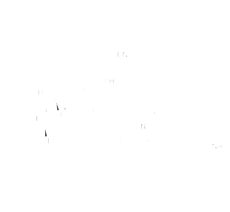 CC(CCC(=O)N(Oc1ccc(N)cc1)Oc1ccc(N)cc1)[C@H]1CC[C@H]2[C@@H]3CCC4CCCC[C@]4(C)[C@H]3CC[C@]12C